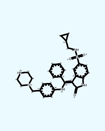 O=C1Nc2ccc(S(=O)(=O)NCC3CC3)cc2/C1=C(/Nc1ccc(CN2CCNCC2)cc1)c1ccccc1